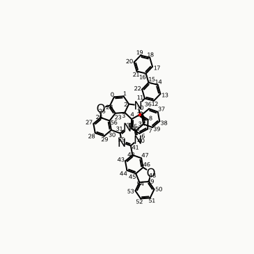 C1=CC2C(c3ccccc3N2c2cccc(-c3ccccc3)c2)c2c1oc1cccc(-c3nc(-c4ccccc4)nc(-c4ccc5c(c4)oc4ccccc45)n3)c21